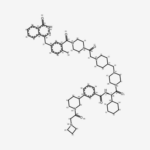 O=C(N[C@@H](C(=O)N1CCN(CC2CCN(CC(=O)N3CCN(C(=O)c4cc(Cc5n[nH]c(=O)c6ccccc56)ccc4F)CC3)CC2)CC1)C1CCCCC1)c1cccc(C2CCCN(C(=O)CN3CCC3)C2)c1